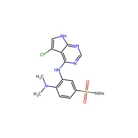 CNS(=O)(=O)c1ccc(N(C)C)c(Nc2ncnc3[nH]cc(Cl)c23)c1